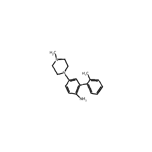 Cc1ccccc1-c1cc(N2CCN(C)CC2)ccc1N